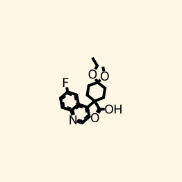 CCOC1(OC)CCC(C(=O)O)(c2ccnc3ccc(F)cc23)CC1